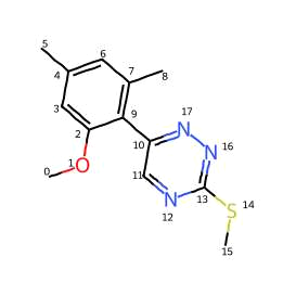 COc1cc(C)cc(C)c1-c1cnc(SC)nn1